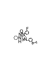 C[C@@H](c1cccc(CN2CCC3(C[C@@H]2C)C(NC2CCCCC2)=NC(=O)N3c2cccc(F)c2)c1)C1CC1